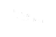 O/N=C1\CCCc2c1[nH]c1cc(Br)ccc21